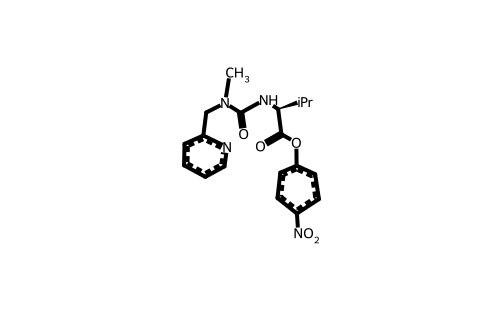 CC(C)[C@H](NC(=O)N(C)Cc1ccccn1)C(=O)Oc1ccc([N+](=O)[O-])cc1